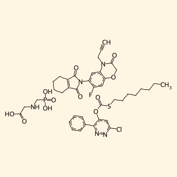 C#CCN1C(=O)COc2cc(F)c(N3C(=O)C4=C(CCCC4)C3=O)cc21.CCCCCCCCSC(=O)Oc1cc(Cl)nnc1-c1ccccc1.O=C(O)CNCP(=O)(O)O